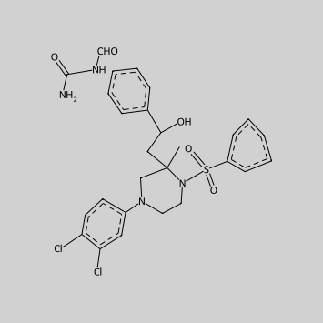 CC1(CC(O)c2ccccc2)CN(c2ccc(Cl)c(Cl)c2)CCN1S(=O)(=O)c1ccccc1.NC(=O)NC=O